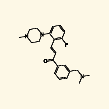 CN(C)Cc1cccc(C(=O)C=Cc2c(F)cccc2N2CCN(C)CC2)c1